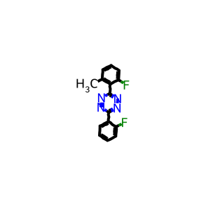 Cc1cccc(F)c1-c1nnc(-c2ccccc2F)nn1